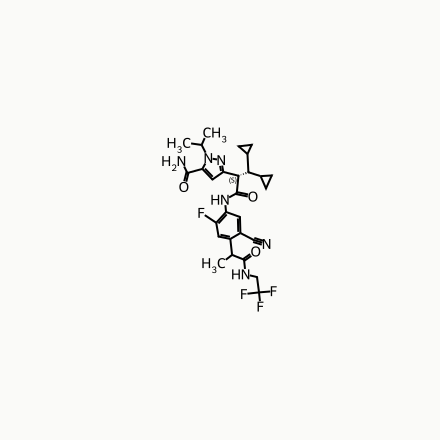 CC(C(=O)NCC(F)(F)F)c1cc(F)c(NC(=O)[C@H](c2cc(C(N)=O)n(C(C)C)n2)C(C2CC2)C2CC2)cc1C#N